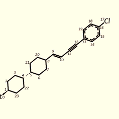 CC[C@H]1CC[C@H](C2CCC(/C=C/C#Cc3ccc(Cl)cc3)CC2)CC1